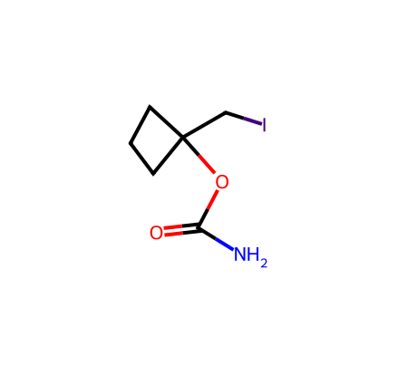 NC(=O)OC1(CI)CCC1